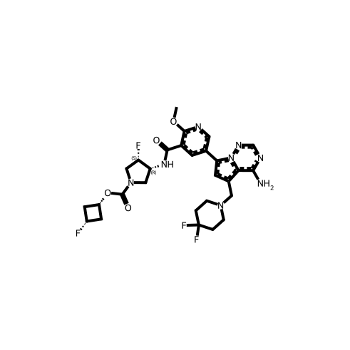 COc1ncc(-c2cc(CN3CCC(F)(F)CC3)c3c(N)ncnn23)cc1C(=O)N[C@@H]1CN(C(=O)O[C@H]2C[C@@H](F)C2)C[C@@H]1F